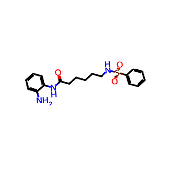 Nc1ccccc1NC(=O)CCCCCNS(=O)(=O)c1ccccc1